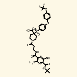 CC(C)(C)NC(=O)c1nc(N)c(C(=O)NCCC(=O)N2CCC(C(=O)O)(S(=O)(=O)c3ccc(Oc4ccc(OC(F)(F)F)cc4)cc3)CC2)nc1N